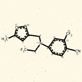 Cc1cc(CN(CC(F)(F)F)c2ccc(C#N)c(C(F)(F)F)c2)no1